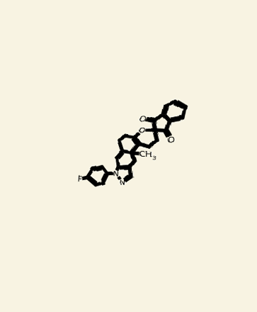 CC12Cc3cnn(-c4ccc(F)cc4)c3C=C1CCC1=C2CCC2(O1)C(=O)c1ccccc1C2=O